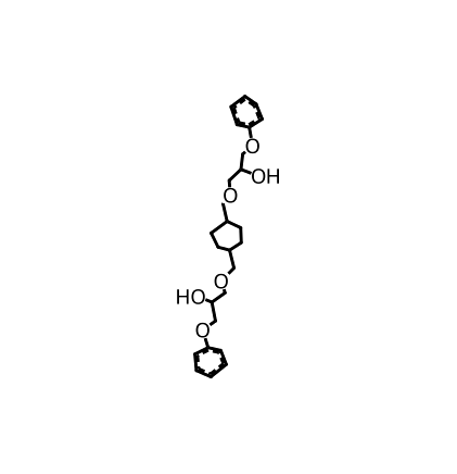 OC(COCC1CCC(COCC(O)COc2ccccc2)CC1)COc1ccccc1